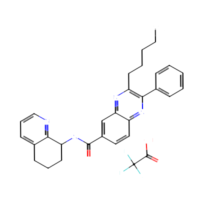 O=C(O)C(F)(F)F.O=C(O)CCCCc1nc2cc(C(=O)NC3CCCc4cccnc43)ccc2nc1-c1ccccc1